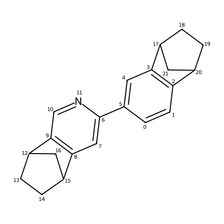 c1cc2c(cc1-c1cc3c(cn1)C1CCC3C1)C1CCC2C1